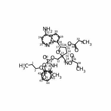 CCCOC(=O)[C@H](C)N[P@@](=O)(OC[C@@]1(C#N)O[C@@H](c2ccc3c(N)ccnn23)[C@H](OC(=O)CC)[C@@H]1OC(=O)CC)Oc1ccccc1